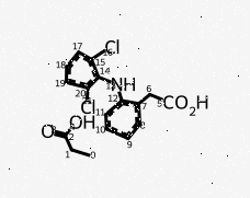 CCC(=O)O.O=C(O)Cc1ccccc1Nc1c(Cl)cccc1Cl